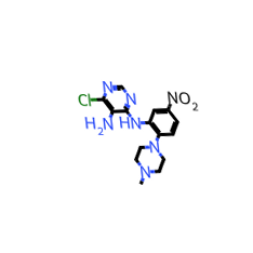 CN1CCN(c2ccc([N+](=O)[O-])cc2Nc2ncnc(Cl)c2N)CC1